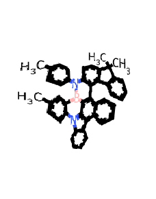 Cc1ccc(N2B3c4cc(C)ccc4-n4c5ccccc5c5c6ccccc6c(c3c54)-c3c2ccc2c3-c3ccccc3C2(C)C)cc1